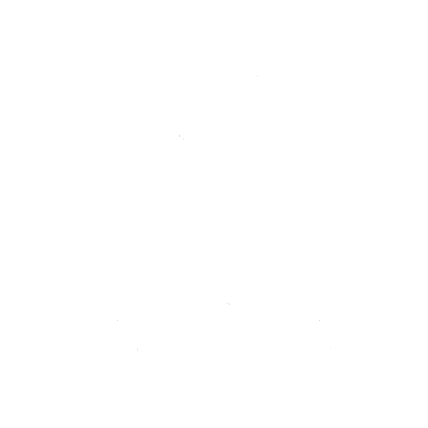 Cc1ccc(N(c2ccc(C)cc2)c2ccc(C3C=CC(N(c4ccc(C(C)(C)C)cc4)c4cccc5c4-c4ccccc4C5(C)C)=CC3)cc2)cc1